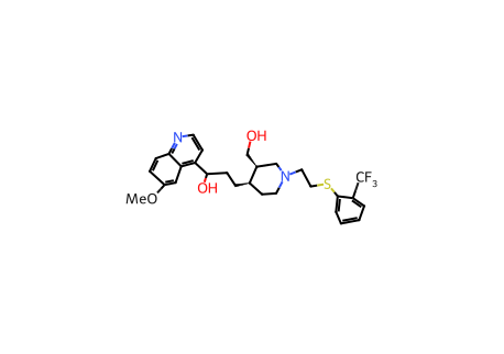 COc1ccc2nccc(C(O)CC[C@@H]3CCN(CCSc4ccccc4C(F)(F)F)C[C@@H]3CO)c2c1